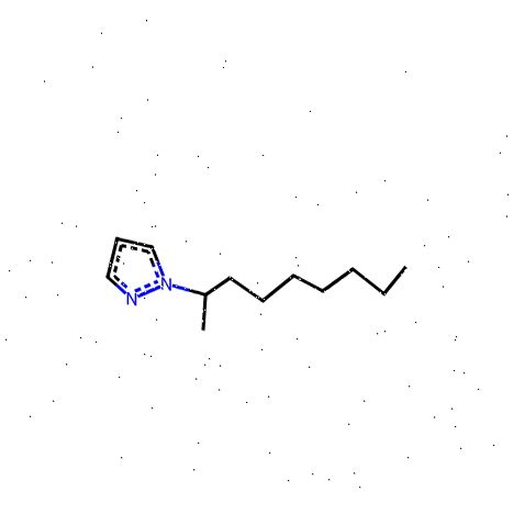 CCCCCCCC(C)n1cccn1